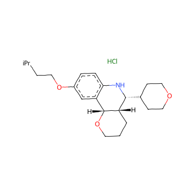 CC(C)CCOc1ccc2c(c1)[C@H]1OCCC[C@H]1[C@@H](C1CCOCC1)N2.Cl